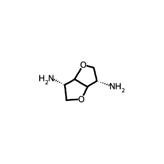 N[C@H]1COC2C1OC[C@@H]2N